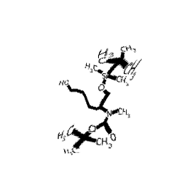 CN(C(=O)OC(C)(C)C)C(CCCO)CO[Si](C)(C)C(C)(C)C